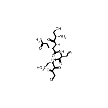 CC(C)C[C@H](NC(=O)[C@H](CCC(N)=O)NC(=O)[C@@H](N)CO)C(=O)N[C@@H](CC(=O)O)C(=O)C(=O)CCl